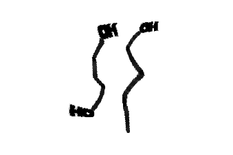 CCCCO.OCCO